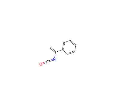 C=C(N=C=O)c1cc[c]cc1